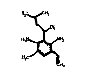 C=Cc1cc(C)c(N)c(C(C)CC(C)C)c1N